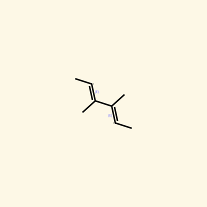 C/[C]=C(C)/C(C)=[C]/C